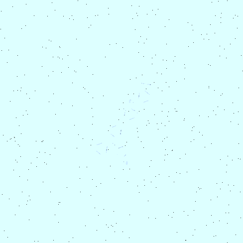 NC(=O)C1(C(=O)N(c2ccc(F)cc2)c2ccc(Oc3ccnc(Nc4cccc(S(=O)(=O)C(F)(F)F)c4)n3)cc2)CC1